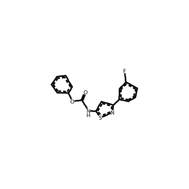 O=C(Nc1cc(-c2cccc(F)c2)ns1)Oc1ccccc1